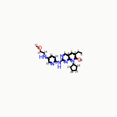 CCc1cc2cnc(Nc3ccc(NCCOC)cn3)nc2n(C2CCCC2)c1=O